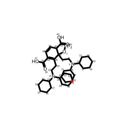 COC1(CCN(C2CCCCC2)C2CCCCC2)C(CCN(C2CCCCC2)C2CCCCC2)=C(C(=O)O)C=CC1C(=O)O